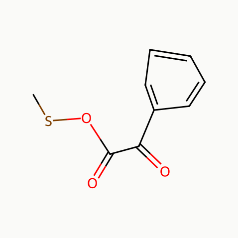 CSOC(=O)C(=O)c1ccccc1